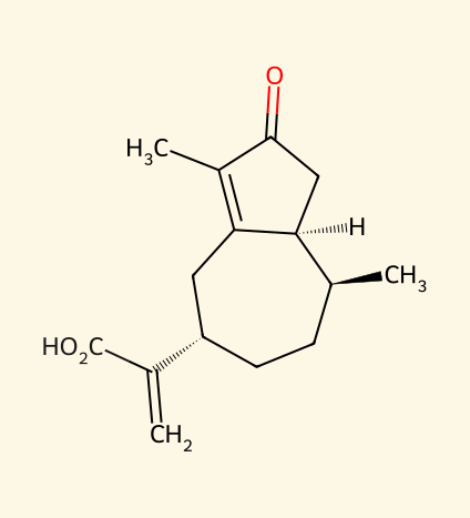 C=C(C(=O)O)[C@H]1CC[C@H](C)[C@@H]2CC(=O)C(C)=C2C1